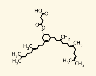 C=C(CC/C=C(\C)CCC=C(C)C)CC[C@H]1C=C(CC/C=C(\C)CCC=C(C)C)C[C@H](COC(=O)CCC(=O)O)C1